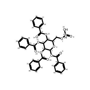 O=C(OC1OC(CO[PH](=O)O)C(OC(=O)c2ccccc2)C(OC(=O)c2ccccc2)C1OC(=O)c1ccccc1)c1ccccc1